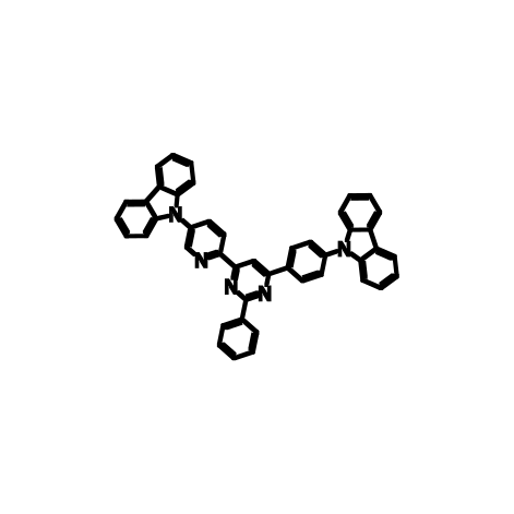 c1ccc(-c2nc(-c3ccc(-n4c5ccccc5c5ccccc54)cc3)cc(-c3ccc(-n4c5ccccc5c5ccccc54)cn3)n2)cc1